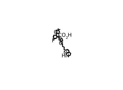 CC1(C)CCC(c2ccc(F)cc2[C@H](C(=O)O)N2CC[C@@H](OCCCCc3ccc4c(n3)NCCC4)C2)OC1